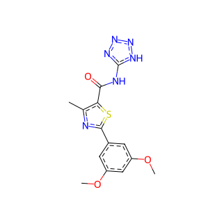 COc1cc(OC)cc(-c2nc(C)c(C(=O)Nc3nnn[nH]3)s2)c1